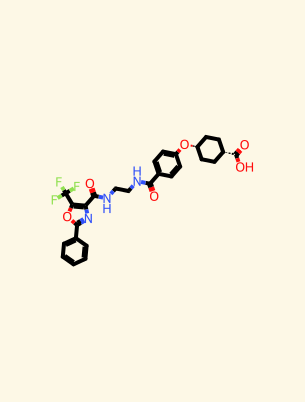 O=C(NCCNC(=O)c1nc(-c2ccccc2)oc1C(F)(F)F)c1ccc(O[C@H]2CC[C@@H](C(=O)O)CC2)cc1